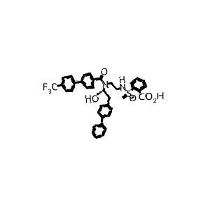 C=S(=O)(NCCN(C(=O)c1ccc(-c2ccc(C(F)(F)F)cc2)cc1)[C@H](CO)Cc1ccc(-c2ccccc2)cc1)c1ccccc1C(=O)O